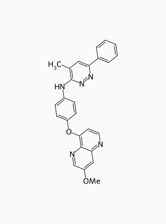 COc1cnc2c(Oc3ccc(Nc4nnc(-c5ccccc5)cc4C)cc3)ccnc2c1